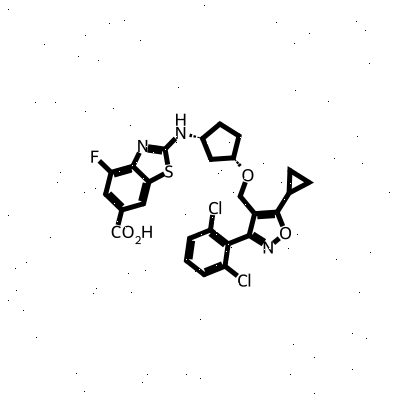 O=C(O)c1cc(F)c2nc(N[C@@H]3CC[C@H](OCc4c(-c5c(Cl)cccc5Cl)noc4C4CC4)C3)sc2c1